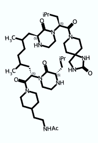 CC(=O)NCCC1CCN(C(=O)[C@H](CC(C)CCC(C)C[C@@H]2NCCN([C@@H](CC(C)C)C(=O)N3CCC4(CC3)CNC(=O)N4)C2=O)N2CCN[C@@H](CC(C)C)C2=O)CC1